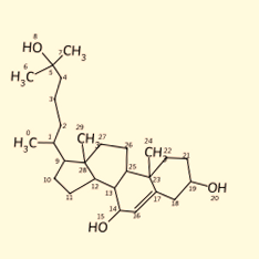 CC(CCCC(C)(C)O)C1CCC2C3C(O)C=C4CC(O)CCC4(C)C3CCC12C